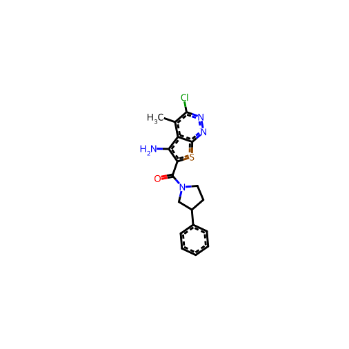 Cc1c(Cl)nnc2sc(C(=O)N3CCC(c4ccccc4)C3)c(N)c12